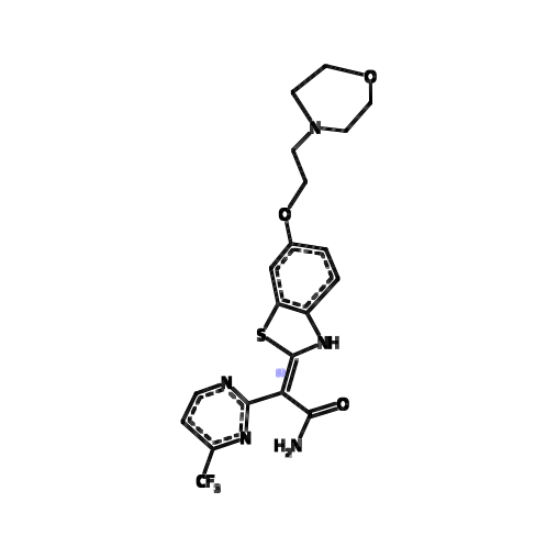 NC(=O)/C(=C1\Nc2ccc(OCCN3CCOCC3)cc2S1)c1nccc(C(F)(F)F)n1